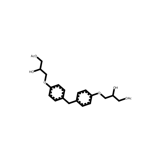 CC(=O)OCC(O)COc1ccc(Cc2ccc(OCC(O)COC(C)=O)cc2)cc1